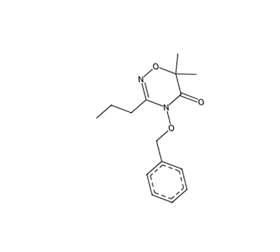 CCCC1=NOC(C)(C)C(=O)N1OCc1ccccc1